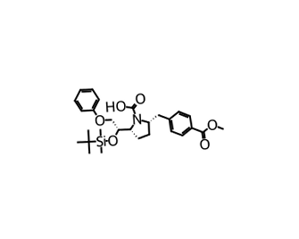 COC(=O)c1ccc(C[C@@H]2CC[C@H]([C@@H](COc3ccccc3)O[Si](C)(C)C(C)(C)C)N2C(=O)O)cc1